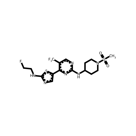 CS(=O)(=O)N1CCC(Nc2ncc(C(F)(F)F)c(-c3cnc(NCCF)s3)n2)CC1